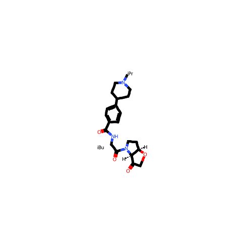 CC[C@H](C)C(NC(=O)c1ccc(C2CCN(C(C)C)CC2)cc1)C(=O)N1CC[C@H]2OCC(=O)[C@H]21